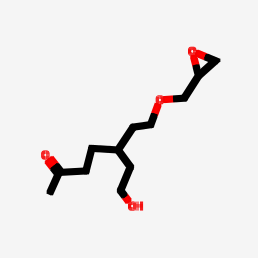 CC(=O)CC[C](CCO)CCOCC1CO1